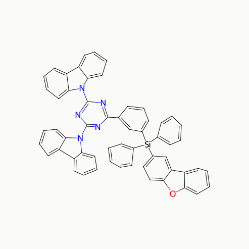 c1ccc([Si](c2ccccc2)(c2cccc(-c3nc(-n4c5ccccc5c5ccccc54)nc(-n4c5ccccc5c5ccccc54)n3)c2)c2ccc3oc4ccccc4c3c2)cc1